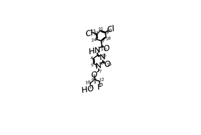 O=C(Nc1ccn(CO[C@H](CO)CF)c(=O)n1)c1cc(Cl)cc(Cl)c1